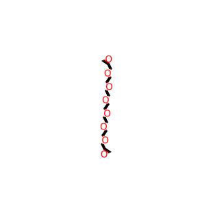 C(COCCOCCOCC1CO1)OCCOCCOCC1CO1